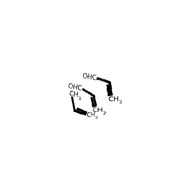 C=CC.C=CC=O.C=CC=O